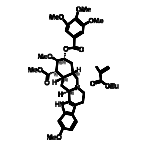 C=C(C)C(=O)OCC(C)C.COC(=O)[C@H]1[C@H]2C[C@@H]3c4[nH]c5cc(OC)ccc5c4CCN3C[C@H]2C[C@@H](OC(=O)c2cc(OC)c(OC)c(OC)c2)[C@@H]1OC